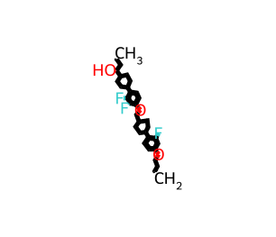 C=CCCOc1ccc(C2CCC(COc3ccc(C4CCC(C(O)CCC)CC4)c(F)c3F)CC2)c(F)c1